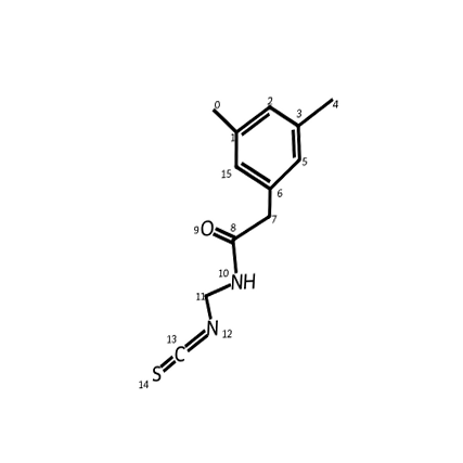 Cc1cc(C)cc(CC(=O)NCN=C=S)c1